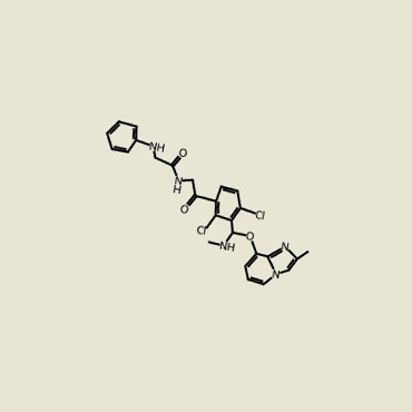 CNC(Oc1cccn2cc(C)nc12)c1c(Cl)ccc(C(=O)CNC(=O)CNc2ccccc2)c1Cl